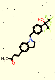 CC(=O)/C=C/c1ccc2c(c1)CCN2Cc1ccc(C(O)(C(F)(F)F)C(F)(F)F)cc1